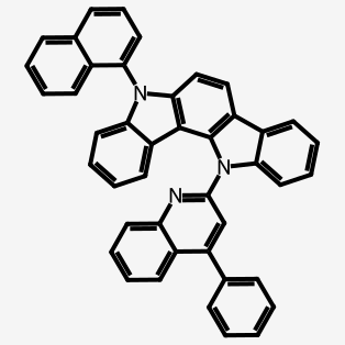 c1ccc(-c2cc(-n3c4ccccc4c4ccc5c(c6ccccc6n5-c5cccc6ccccc56)c43)nc3ccccc23)cc1